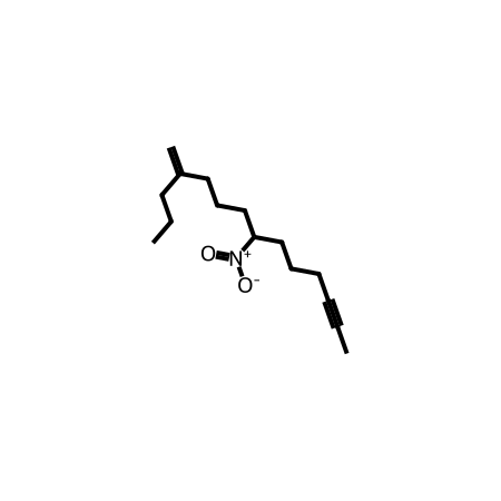 C=C(CCC)CCCC(CCCC#CC)[N+](=O)[O-]